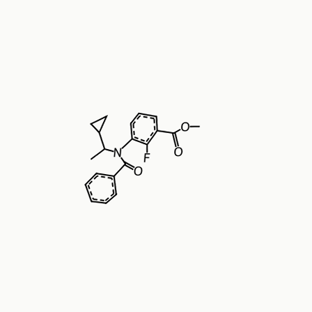 COC(=O)c1cccc(N(C(=O)c2ccccc2)C(C)C2CC2)c1F